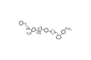 O=C(NS(=O)(=O)c1ccc(NCCSc2ccccc2)c([N+](=O)[O-])c1)c1ccc(N2CCN(Cc3ccccc3-c3ccc(OC(F)(F)F)cc3)CC2)cc1